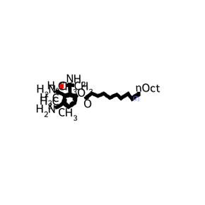 CCCCCCCC/C=C\CCCCCCCC(=O)Oc1ccc(C(C)(C)N)c(C(C)(C)N)c1C(C)(C)N